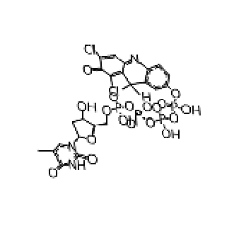 Cc1cn([C@H]2CC(O)[C@@H](COP(=O)(O)OP(=O)(O)OP(=O)(O)OP(=O)(O)Oc3ccc4c(c3)C(C)(C)C3=C(Cl)C(=O)C(Cl)=CC3=N4)O2)c(=O)[nH]c1=O